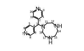 c1cc(C(c2ccncc2)N2CCNCCNCC2)ccn1